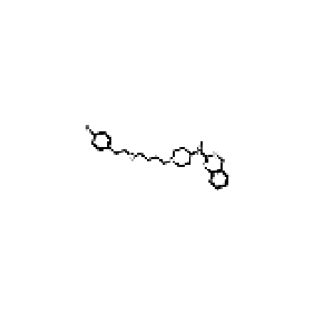 CN(C1=Nc2ccccc2CS1)C1CCN(CCCCOCCc2ccc(F)cc2)CC1